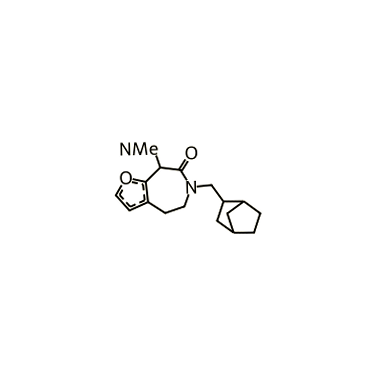 CNC1C(=O)N(CC2CC3CCC2C3)CCc2ccoc21